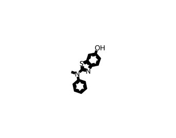 CN(c1ccccc1)c1nc2ccc(O)cc2s1